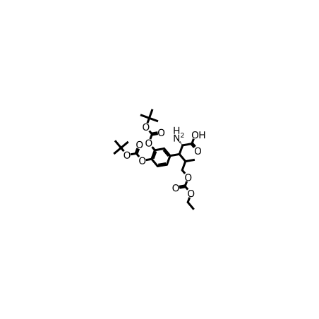 CCOC(=O)OCC(C)C(c1ccc(OC(=O)OC(C)(C)C)c(OC(=O)OC(C)(C)C)c1)[C@H](N)C(=O)O